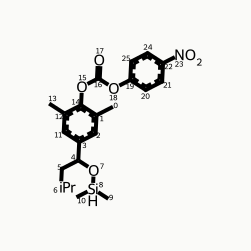 Cc1cc(C(CC(C)C)O[SiH](C)C)cc(C)c1OC(=O)Oc1ccc([N+](=O)[O-])cc1